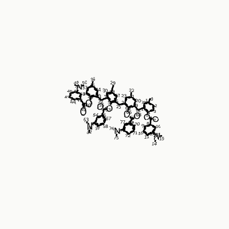 Cc1ccc(OC(=O)c2cccc(N(C)C)c2)c(Cc2cc(C)cc(Cc3cc(C)cc(Cc4cc(C)ccc4OC(=O)c4cccc(N(C)C)c4)c3OC(=O)c3cccc(N(C)C)c3)c2OC(=O)c2cccc(N(C)C)c2)c1